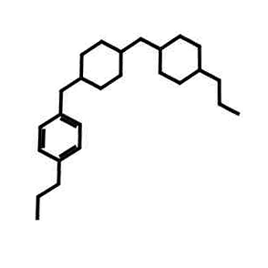 CCCc1ccc(CC2CCC(CC3CCC(CCC)CC3)CC2)cc1